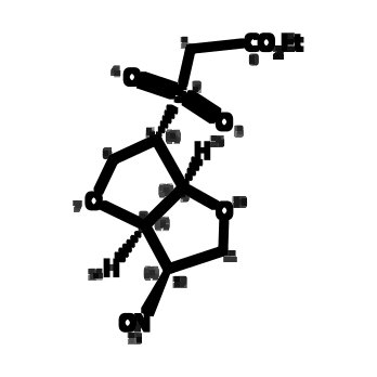 CCOC(=O)CS(=O)(=O)[C@H]1CO[C@H]2[C@@H]1OC[C@H]2N=O